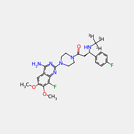 [2H]C([2H])([2H])N[C@H](CC(=O)N1CCN(c2nc(N)c3cc(OC)c(OC)c(F)c3n2)CC1)c1ccc(F)cc1